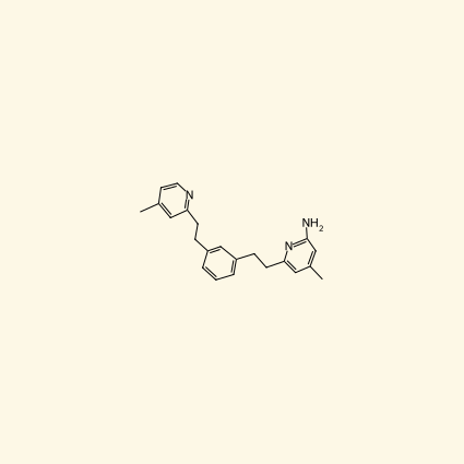 Cc1ccnc(CCc2cccc(CCc3cc(C)cc(N)n3)c2)c1